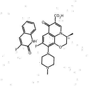 C[C@H]1COc2c(N3CCN(C)CC3)c(F)cc3c(=O)c(C(=O)O)cn1c23.O=c1[nH]c2ccccc2cc1F